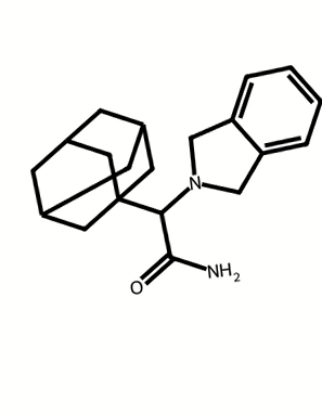 NC(=O)C(N1Cc2ccccc2C1)C12CC3CC(CC(C3)C1)C2